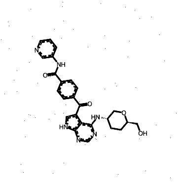 O=C(Nc1cccnc1)c1ccc(C(=O)c2c[nH]c3ncnc(N[C@H]4CC[C@H](CO)OC4)c23)cc1